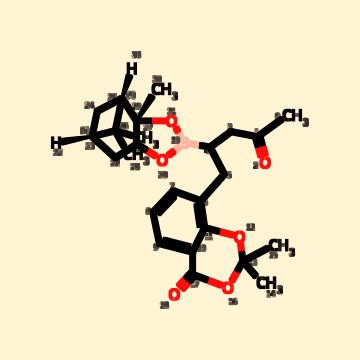 CC(=O)CC(Cc1cccc2c1OC(C)(C)OC2=O)B1OC2C[C@@H]3C[C@@H](C3(C)C)[C@]2(C)O1